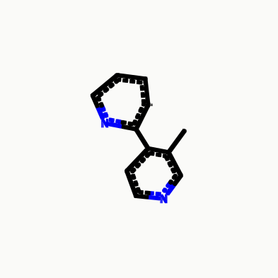 Cc1cnccc1-c1[c]cccn1